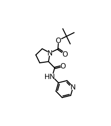 CC(C)(C)OC(=O)N1CCCC1C(=O)Nc1cccnc1